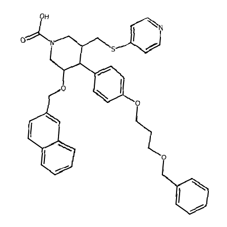 O=C(O)N1CC(CSc2ccncc2)C(c2ccc(OCCCOCc3ccccc3)cc2)C(OCc2ccc3ccccc3c2)C1